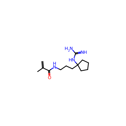 C=C(C)C(=O)NCCCC1(NC(=N)N)CCCC1